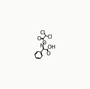 O=C(O)C(=NOC(=O)C(Cl)Cl)c1ccccc1